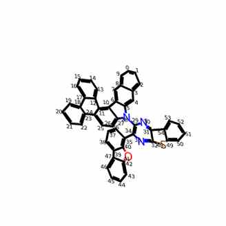 c1ccc2cc3c(cc2c1)c1c2c4ccccc4c4ccccc4c2ccc1n3-c1nc2c(nc1-c1cccc3c1oc1ccccc13)sc1ccccc12